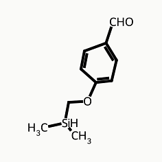 C[SiH](C)COc1ccc(C=O)cc1